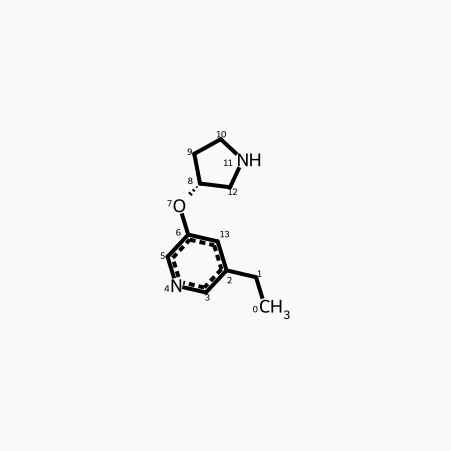 CCc1cncc(O[C@@H]2CCNC2)c1